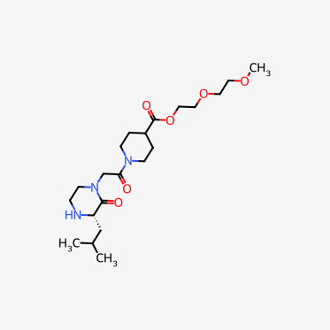 COCCOCCOC(=O)C1CCN(C(=O)CN2CCN[C@@H](CC(C)C)C2=O)CC1